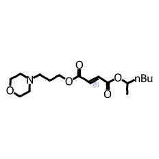 CCCCC(C)OC(=O)/C=C/C(=O)OCCCN1CCOCC1